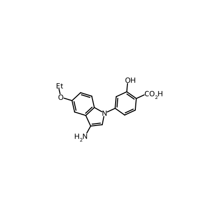 CCOc1ccc2c(c1)c(N)cn2-c1ccc(C(=O)O)c(O)c1